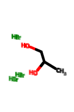 Br.Br.Br.CC(O)CO